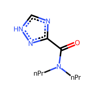 CCCN(CCC)C(=O)c1nc[nH]n1